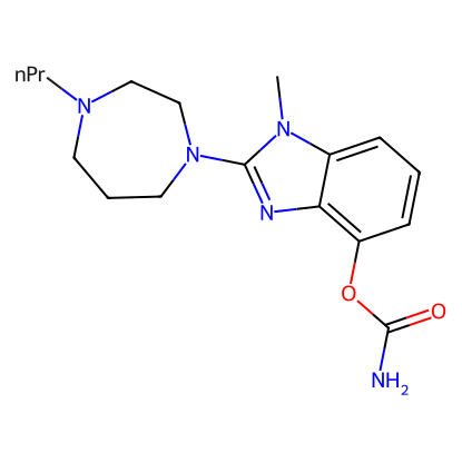 CCCN1CCCN(c2nc3c(OC(N)=O)cccc3n2C)CC1